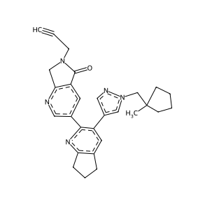 C#CCN1Cc2ncc(-c3nc4c(cc3-c3cnn(CC5(C)CCCC5)c3)CCC4)cc2C1=O